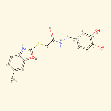 Cc1ccc2nc(SCC(=O)NCc3ccc(O)c(O)c3)oc2c1